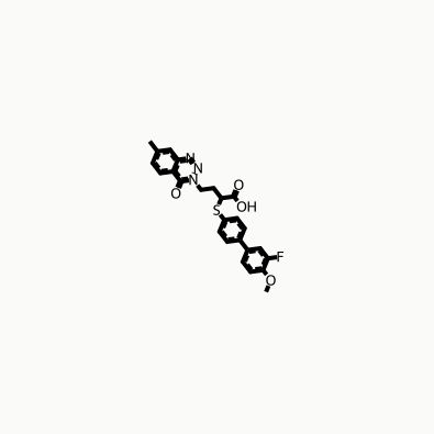 COc1ccc(-c2ccc(SC(CCn3nnc4cc(C)ccc4c3=O)C(=O)O)cc2)cc1F